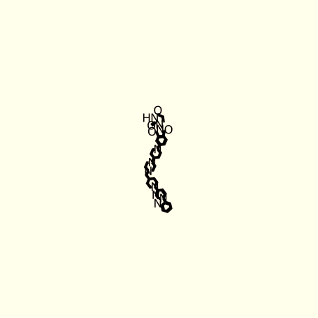 O=C1CCN(N2C(=O)c3ccc(N4CCC(N5CCN(CC6CCN(c7ccn8c(n7)nc7ccccc78)CC6)CC5)CC4)cc3C2=O)C(=O)N1